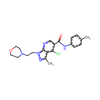 Cc1ccc(NC(=O)c2cnc3c(c(C)nn3CCN3CCOCC3)c2Cl)cc1